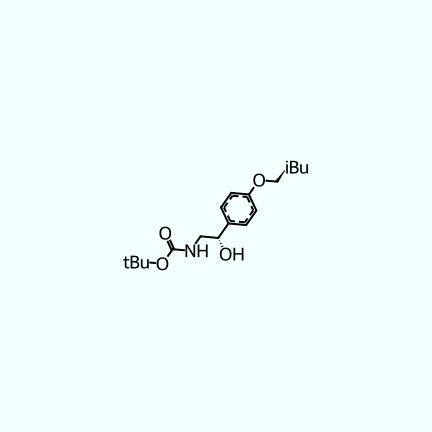 CC[C@H](C)COc1ccc([C@H](O)CNC(=O)OC(C)(C)C)cc1